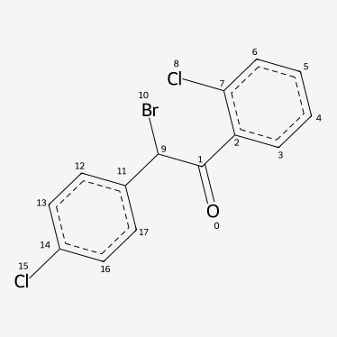 O=C(c1ccccc1Cl)C(Br)c1ccc(Cl)cc1